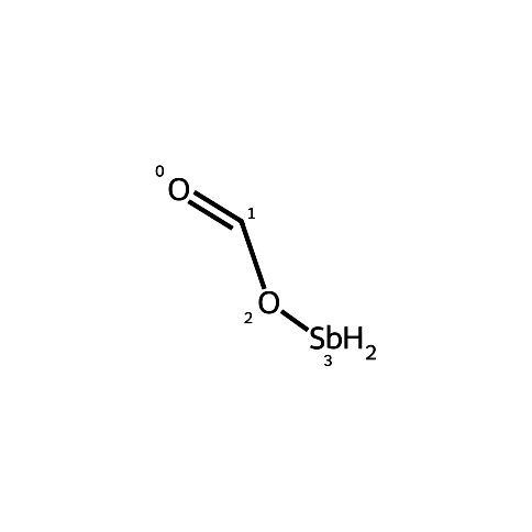 O=C[O][SbH2]